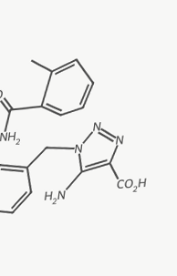 Cc1ccccc1C(N)=O.Nc1c(C(=O)O)nnn1Cc1ccccc1